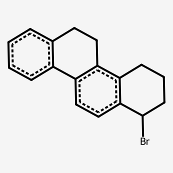 BrC1CCCc2c1ccc1c2CCc2ccccc2-1